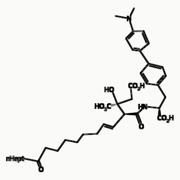 CCCCCCCC(=O)CCCCCC/C=C/[C@H](C(=O)N[C@@H](Cc1ccc(-c2ccc(N(C)C)cc2)cc1)C(=O)O)[C@@](O)(CC(=O)O)C(=O)O